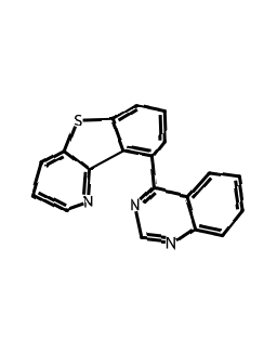 c1ccc2c(-c3cccc4sc5cccnc5c34)ncnc2c1